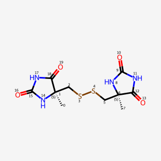 C[C@]1(CSSC[C@@]2(C)NC(=O)NC2=O)NC(=O)NC1=O